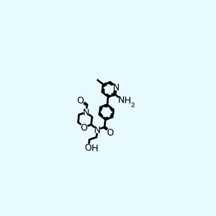 Cc1cnc(N)c(-c2ccc(C(=O)N(CCO)C3CN(C=O)CCO3)cc2)c1